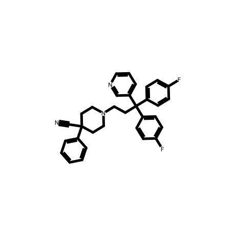 N#CC1(c2ccccc2)CCN(CCC(c2ccc(F)cc2)(c2ccc(F)cc2)c2cccnc2)CC1